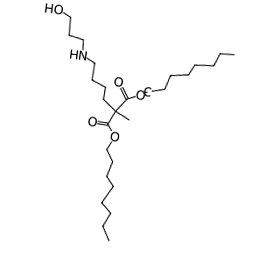 CCCCCCCCOC(=O)C(C)(CCCCNCCCO)C(=O)OCCCCCCCC